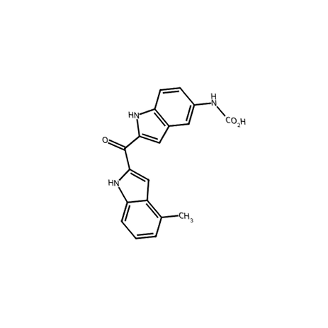 Cc1cccc2[nH]c(C(=O)c3cc4cc(NC(=O)O)ccc4[nH]3)cc12